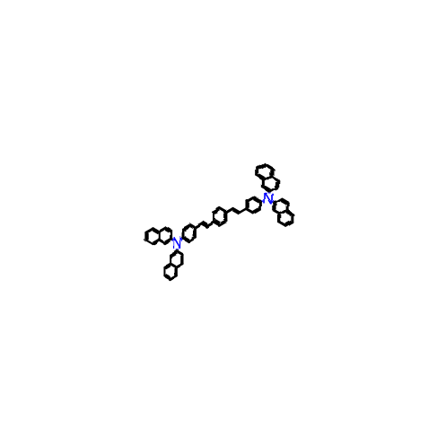 C(=C\c1ccc(N(c2ccc3ccccc3c2)c2ccc3ccccc3c2)cc1)/c1ccc(/C=C/c2ccc(N(c3ccc4ccccc4c3)c3ccc4ccccc4c3)cc2)cc1